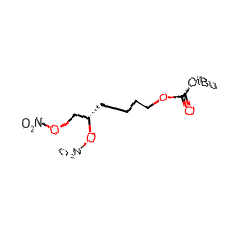 CC(C)COC(=O)OCCCC[C@@H](CO[N+](=O)[O-])O[N+](=O)[O-]